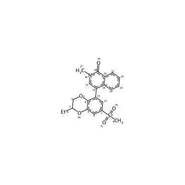 CCC1COc2c(cc(S(C)(=O)=O)cc2-c2cn(C)c(=O)c3ccccc23)O1